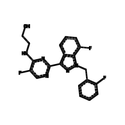 OCCNc1nc(-c2nn(Cc3ccccc3F)c3c(F)cccc23)ncc1F